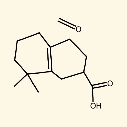 C=O.CC1(C)CCCC2=C1CC(C(=O)O)CC2